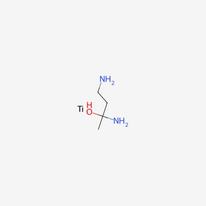 CC(N)(O)CCN.[Ti]